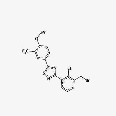 CCc1c(CBr)cccc1-c1nsc(-c2ccc(OC(C)C)c(C(F)(F)F)c2)n1